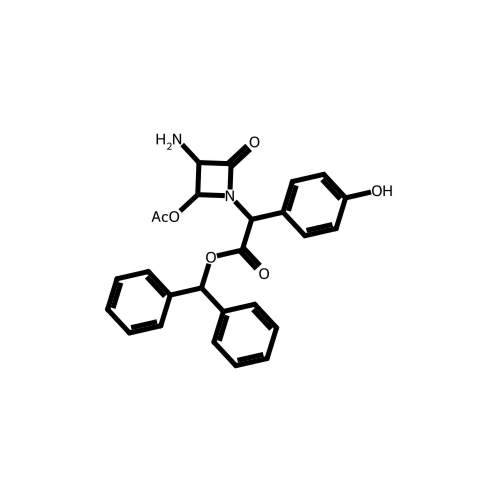 CC(=O)OC1C(N)C(=O)N1C(C(=O)OC(c1ccccc1)c1ccccc1)c1ccc(O)cc1